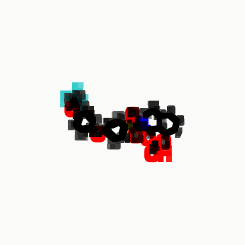 O=C(O)OC1C2CCCCC2CCN1S(=O)(=O)c1ccc(Oc2ccc(OC(F)(F)F)cc2)cc1